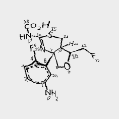 Nc1ccc(F)c([C@]23CO[C@H](CF)[C@H]2CSC(NC(=O)O)=N3)c1